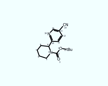 CC(C)(C)OC(=O)N1CCCCC1c1ccc(C#N)cn1